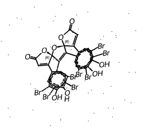 O=C1C=C(c2cc(Br)c(O)c(Br)c2)[C@]2(O1)O[C@]1(OC(=O)C=C1c1cc(Br)c(O)c(Br)c1)C(c1cc(Br)c(O)c(Br)c1)=C2c1cc(Br)c(O)c(Br)c1